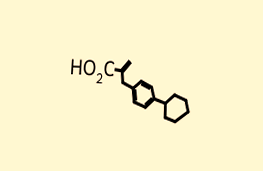 C=C(Cc1ccc(C2CCCCC2)cc1)C(=O)O